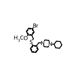 COc1ccc(Br)cc1CSc1ccccc1CN1CCN(C2CCCCC2)CC1